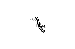 NC1CC=C(c2ccc(NC(=O)N3Cc4ccccc4C3)cc2)CC1